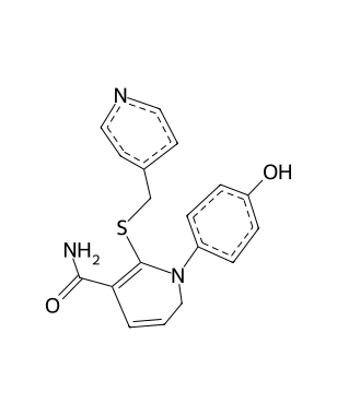 NC(=O)C1=C(SCc2ccncc2)N(c2ccc(O)cc2)CC=C1